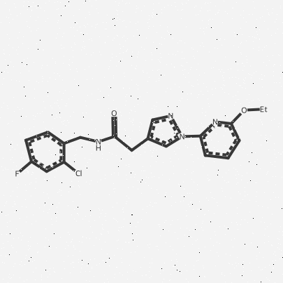 CCOc1cccc(-n2cc(CC(=O)NCc3ccc(F)cc3Cl)cn2)n1